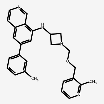 Cc1cccc(-c2cc(NC3CN(COCc4cccnc4C)C3)c3cnccc3c2)c1